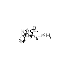 C=CC(=O)OCC(C)(COC(=O)CCN(C)CCC[SiH3])NC(=O)OC1CC(C)(C)N(C)C(C)(C)C1